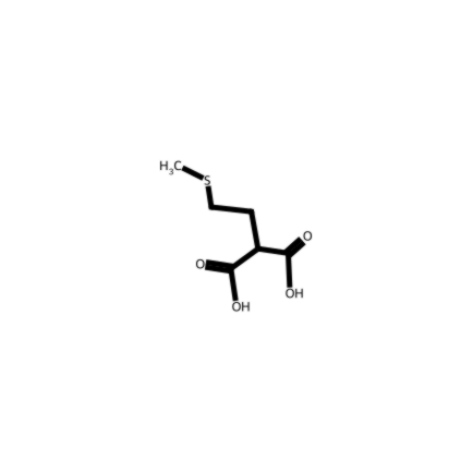 CSCCC(C(=O)O)C(=O)O